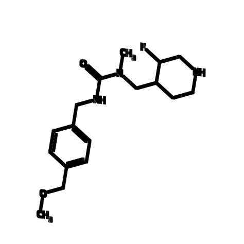 COCc1ccc(CNC(=O)N(C)CC2CCNCC2F)cc1